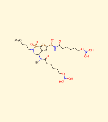 CCN(C(=O)CCCCCON(O)O)[C@H]1CN(CCCOC)S(=O)(=O)c2sc([S+]([O-])NC(=O)CCCCCON(O)O)cc21